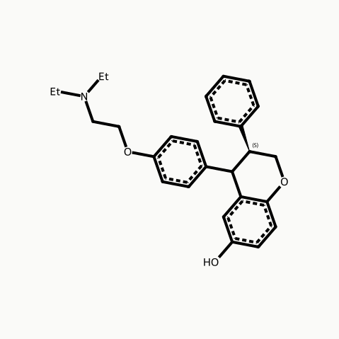 CCN(CC)CCOc1ccc(C2c3cc(O)ccc3OC[C@@H]2c2ccccc2)cc1